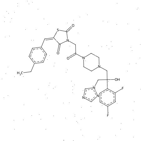 CCc1ccc(C=C2SC(=O)N(CC(=O)N3CCN(CC(O)(Cn4cncn4)c4ccc(F)cc4F)CC3)C2=O)cc1